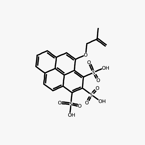 C=C(C)COc1cc2cccc3ccc4c(S(=O)(=O)O)c(S(=O)(=O)O)c(S(=O)(=O)O)c1c4c32